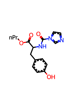 CCCOC(=O)C(Cc1ccc(O)cc1)NC(=O)n1ccnc1